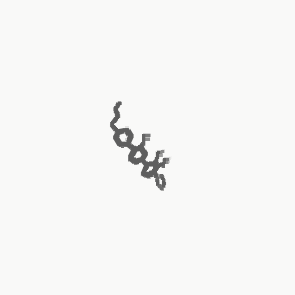 CCCCc1ccc(-c2ccc(-c3ccc(OC)c(F)c3F)cc2F)cc1